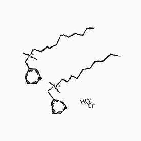 CCCCCCCCCC[N+](C)(C)Cc1ccccc1.CCCCCCCCCC[N+](C)(C)Cc1ccccc1.[Cl-].[OH-]